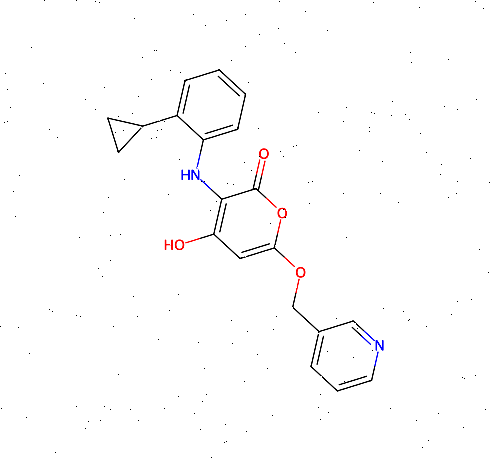 O=c1oc(OCc2cccnc2)cc(O)c1Nc1ccccc1C1CC1